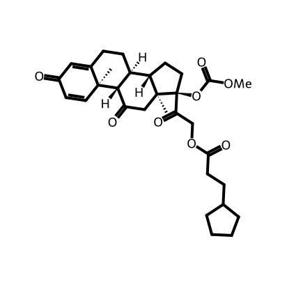 COC(=O)O[C@]1(C(=O)COC(=O)CCC2CCCC2)CC[C@H]2[C@@H]3CCC4=CC(=O)C=C[C@]4(C)[C@H]3C(=O)C[C@@]21C